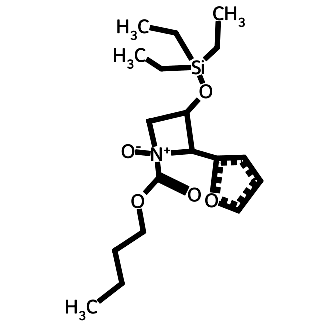 CCCCOC(=O)[N+]1([O-])CC(O[Si](CC)(CC)CC)C1c1ccco1